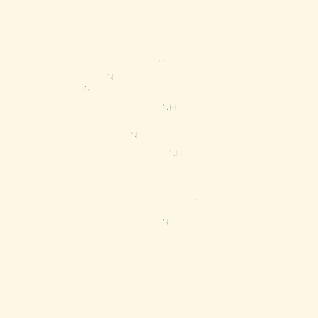 Cn1ncc2nc(NCc3nc4ccccc4s3)[nH]c(=O)c21